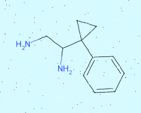 NCC(N)C1(c2ccccc2)CC1